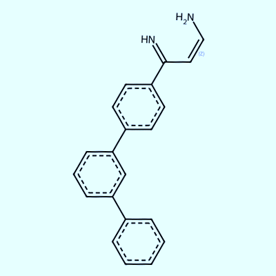 N=C(/C=C\N)c1ccc(-c2cccc(-c3ccccc3)c2)cc1